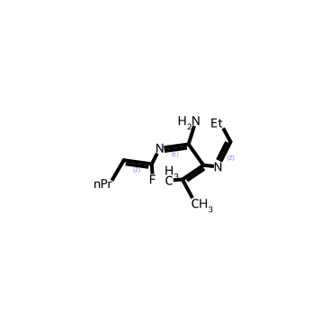 CC/C=N\C(=C(C)C)/C(N)=N\C(F)=C\CCC